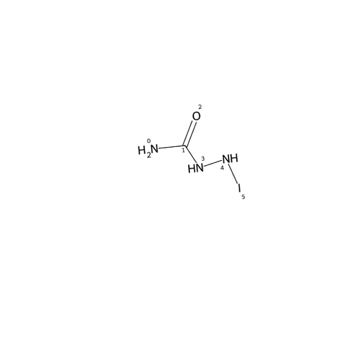 NC(=O)NNI